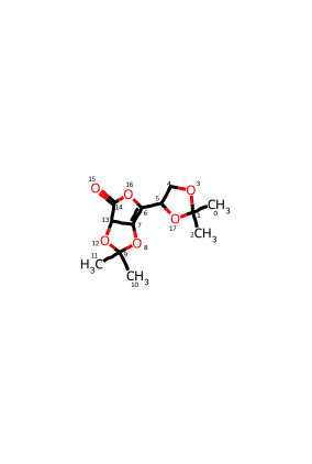 CC1(C)OCC(C2=C3OC(C)(C)OC3C(=O)O2)O1